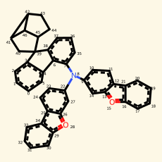 c1ccc2c(c1)-c1c(N(c3ccc4c(c3)oc3ccccc34)c3ccc4c(c3)oc3ccccc34)cccc1C21CC2C3CCC1C32